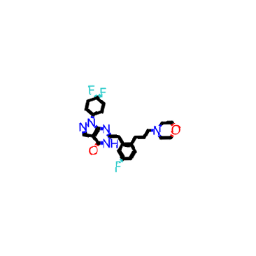 O=c1[nH]c(Cc2cc(F)ccc2CCCN2CCOCC2)nc2c1cnn2C1CCC(F)(F)CC1